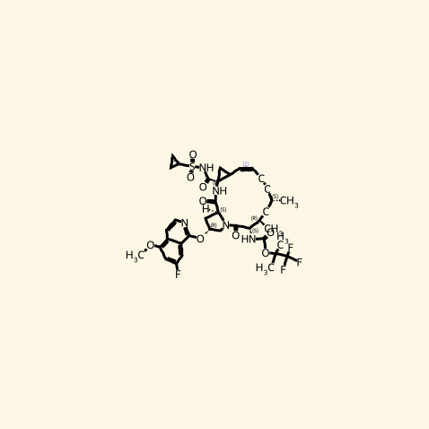 COc1cc(F)cc2c(O[C@@H]3C[C@H]4C(=O)N[C@]5(C(=O)NS(=O)(=O)C6CC6)CC5/C=C\CC[C@H](C)C[C@@H](C)[C@H](NC(=O)OC(C)(C)C(F)(F)F)C(=O)N4C3)nccc12